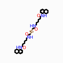 O=C(CSSCC(=O)NCCCCCC(=O)Nc1cccc2c1CCCC2)NCCCCCC(=O)Nc1cccc2c1CCCC2